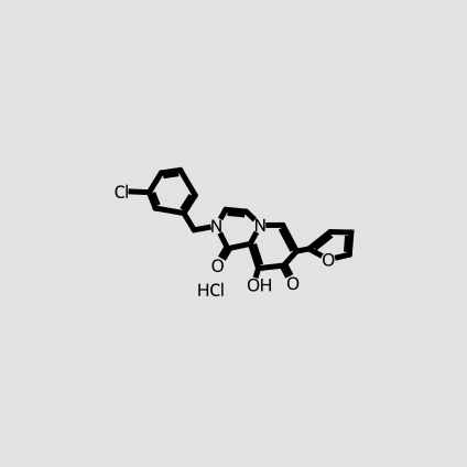 Cl.O=c1c(-c2ccco2)cn2ccn(Cc3cccc(Cl)c3)c(=O)c2c1O